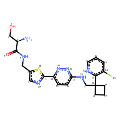 N[C@H](CO)C(=O)NCc1cnc(-c2ccc(NCC3(c4ncccc4F)CCC3)nn2)s1